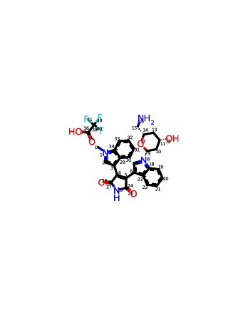 Cn1cc(C2=C(c3cn([C@H]4C[C@@H](O)C[C@@H](CN)O4)c4ccccc34)C(=O)NC2=O)c2ccccc21.O=C(O)C(F)(F)F